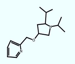 CC(C)C1CC(OCc2ccccn2)CN1C(C)C